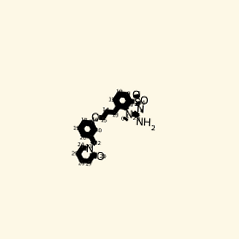 CN1C(N)=NS(=O)(=O)c2cccc(CCCOc3cccc(CN4CCCCC4=O)c3)c21